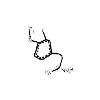 C[C@H](Cc1ccc(OC(F)(F)F)c(F)c1)C(=O)O